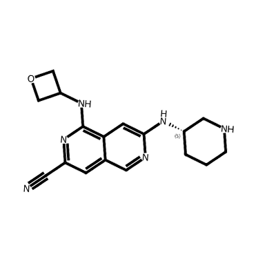 N#Cc1cc2cnc(N[C@H]3CCCNC3)cc2c(NC2COC2)n1